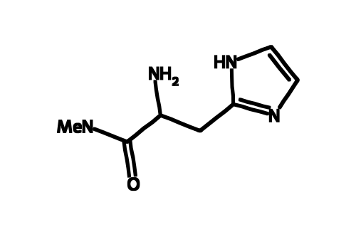 CNC(=O)C(N)Cc1ncc[nH]1